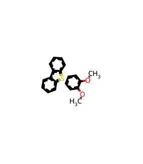 COc1ccccc1OC.c1ccc2c(c1)sc1ccccc12